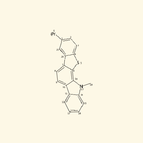 CC(C)c1ccc2sc3c(ccc4c5ccccc5n(C)c43)c2c1